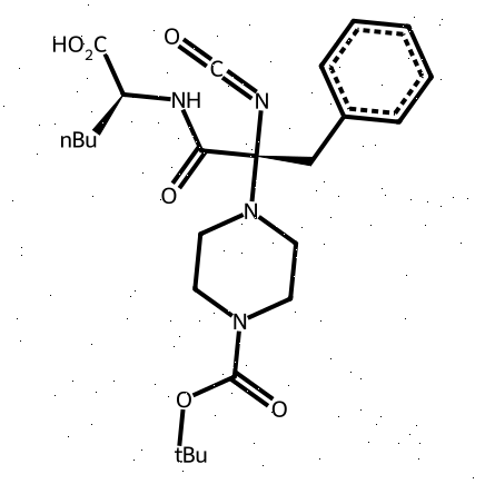 CCCC[C@H](NC(=O)[C@](Cc1ccccc1)(N=C=O)N1CCN(C(=O)OC(C)(C)C)CC1)C(=O)O